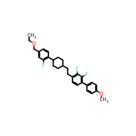 CCOCc1ccc(C2CCC(CCc3ccc(-c4ccc(OC)cc4)c(F)c3F)CC2)c(F)c1